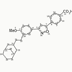 COc1ccc(-c2cc(-c3ccc(C(=O)O)cc3)on2)cc1CCC1CC2CCCC(C2)C1